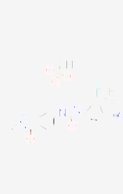 CNC(=O)c1ccc(N2C(=O)N(c3ccc(C#N)c(C(F)(F)F)c3)C3CCC(OS(C)(=O)=O)CC32)cc1F